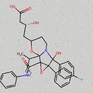 CC(C)C12OC(C[C@@H](O)CC(=O)O)CCN1C(O)(c1ccc(F)cc1)C1(c3ccccc3)OC21C(=O)Nc1ccccc1